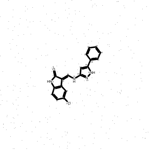 O=C1Nc2ccc(Cl)cc2/C1=C\Nc1cc(-c2ccccc2)[nH]n1